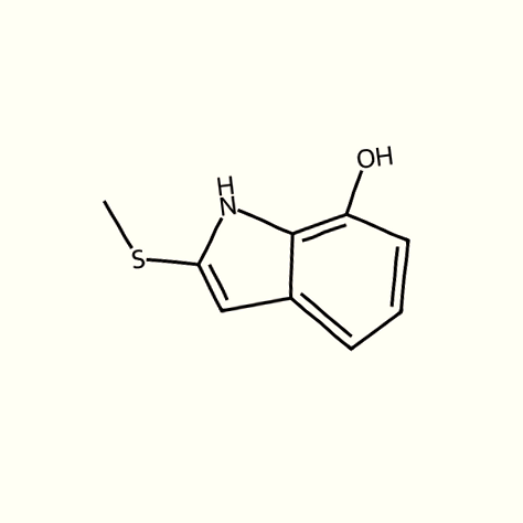 CSc1cc2cccc(O)c2[nH]1